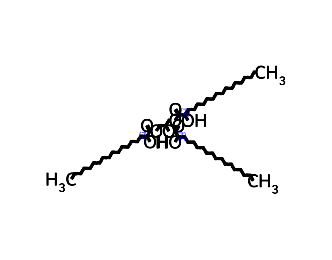 CCCCCCCCCCCCCCC/C=C(\O)C(=O)OCC(COC(=O)/C(O)=C/CCCCCCCCCCCCCCC)OC(=O)/C(O)=C/CCCCCCCCCCCCCCC